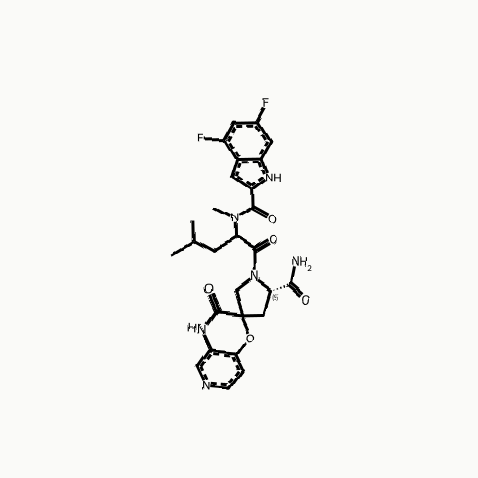 CC(C)CC(C(=O)N1CC2(C[C@H]1C(N)=O)Oc1ccncc1NC2=O)N(C)C(=O)c1cc2c(F)cc(F)cc2[nH]1